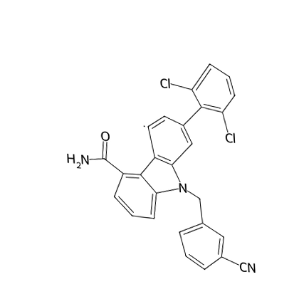 N#Cc1cccc(Cn2c3cc(-c4c(Cl)cccc4Cl)c[c]c3c3c(C(N)=O)cccc32)c1